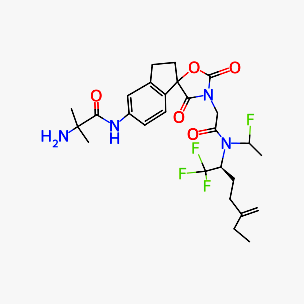 C=C(CC)CC[C@H](N(C(=O)CN1C(=O)OC2(CCc3cc(NC(=O)C(C)(C)N)ccc32)C1=O)C(C)F)C(F)(F)F